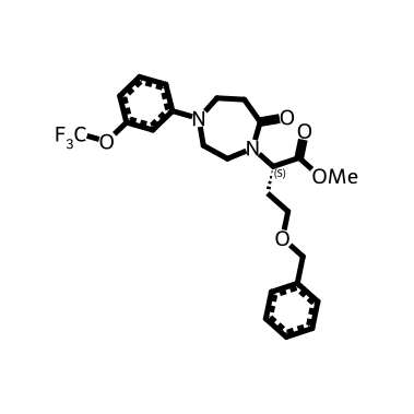 COC(=O)[C@H](CCOCc1ccccc1)N1CCN(c2cccc(OC(F)(F)F)c2)CCC1=O